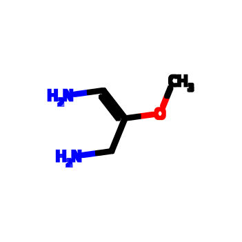 COC(=CN)CN